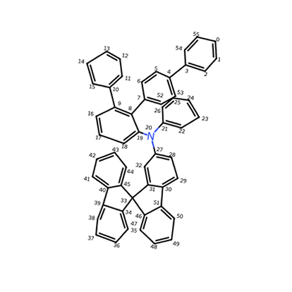 c1ccc(-c2ccc(-c3c(-c4ccccc4)cccc3N(c3ccccc3)c3ccc4c(c3)C3(c5ccccc5-c5ccccc53)c3ccccc3-4)cc2)cc1